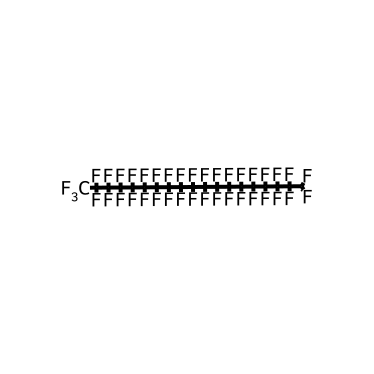 F[C](F)C(F)(F)C(F)(F)C(F)(F)C(F)(F)C(F)(F)C(F)(F)C(F)(F)C(F)(F)C(F)(F)C(F)(F)C(F)(F)C(F)(F)C(F)(F)C(F)(F)C(F)(F)C(F)(F)C(F)(F)C(F)(F)F